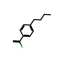 [CH]=C(F)c1ccc(CCCC)cc1